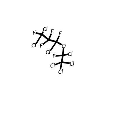 FC(Cl)(Cl)C(F)(F)C(F)(Cl)OC(F)(Cl)C(Cl)(Cl)Cl